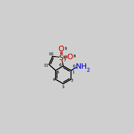 Nc1cccc2c1S(=O)(=O)C=C2